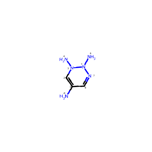 NC1=CN(N)N(N)N=C1